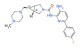 CN1CCN(C[C@H]2C3CN(C(=O)Nc4nc(-c5ccc(F)cc5)ccc4N)C[C@@H]32)CC1